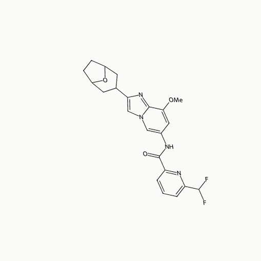 COc1cc(NC(=O)c2cccc(C(F)F)n2)cn2cc(C3CC4CCC(C3)O4)nc12